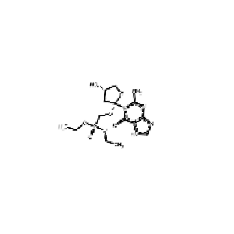 CCOP(=O)(CO[C@]1(n2c(N)nc3nc[nH]c3c2=O)C[C@H](O)CO1)OCC